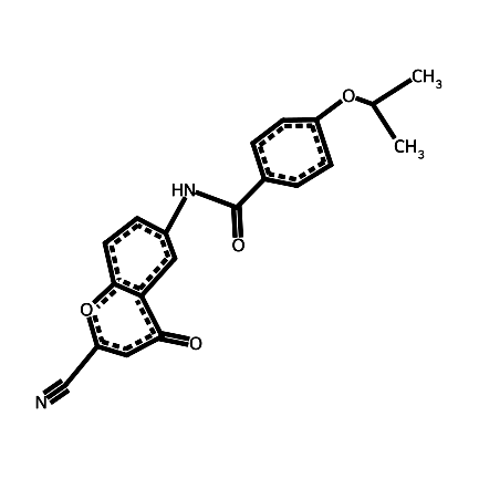 CC(C)Oc1ccc(C(=O)Nc2ccc3oc(C#N)cc(=O)c3c2)cc1